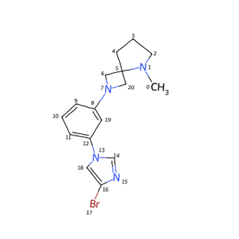 CN1CCCC12CN(c1cccc(-n3cnc(Br)c3)c1)C2